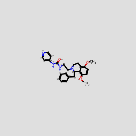 COc1ccc(OC)c2c1CCN(CCNC(=O)Nc1ccncc1)C2Cc1ccccc1